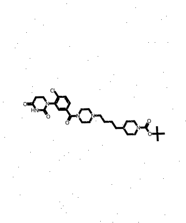 CC(C)(C)OC(=O)N1CCC(CCCCN2CCN(C(=O)c3ccc(Cl)c(N4CCC(=O)NC4=O)c3)CC2)CC1